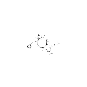 CC[C@H]1OC(=O)C(C)C(=O)[C@H](C)[C@@H](O[C@@H]2OC(CNC(=O)CN(C)C)CC(N(C)C)C2C)[C@](C)(OC)C[C@@H](C)CN(C(=O)OCc2ccccc2)[C@H](C)[C@H]2NC(=O)O[C@@]21C